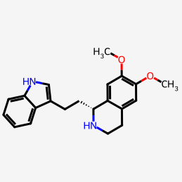 COc1cc2c(cc1OC)[C@@H](CCc1c[nH]c3ccccc13)NCC2